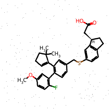 COc1ccc(F)c(-c2ccc(CSc3ccc4c(c3)[C@@H](CC(=O)O)CC4)cc2C2=CCCC2(C)C)c1